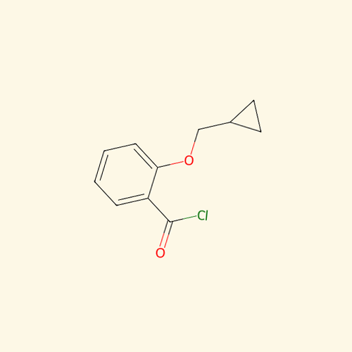 O=C(Cl)c1ccccc1OCC1CC1